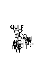 C[C@@H]1c2c(I)nn(CC(=O)N[C@@H](Cc3cc(F)cc(F)c3)c3nc(C#CC(C)(C)O)ccc3-c3ccc(Cl)c4c(NS(C)(=O)=O)nn(C)c34)c2C(F)(F)[C@@H]1C